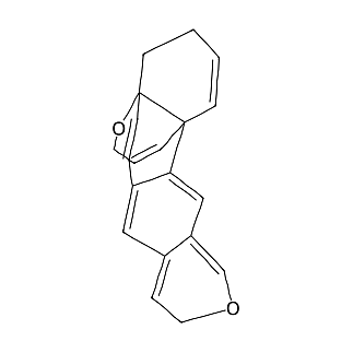 C1=CC23C=CCOC2(C=Cc2cc4c(cc23)=COCC=4)CC1